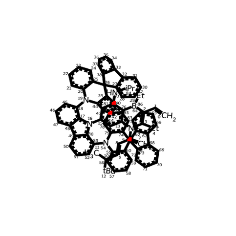 C=CC1=C(CC)N(C(=C)C=CC(C)C(C)(C)C)c2cc(-n3c4c(N5c6ccccc6C6(c7ccccc7-c7ccccc76)c6ccccc65)cccc4c4cccc(N5c6ccccc6C6(c7ccccc7-c7ccccc76)c6ccccc65)c43)cc(NC(C)C)c2B1CC